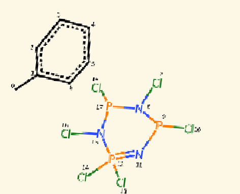 Cc1ccccc1.ClN1P(Cl)N=P(Cl)(Cl)N(Cl)P1Cl